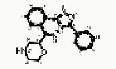 c1ccc(-c2nnc3c4ccccc4c(C4CNCCO4)nn23)cc1